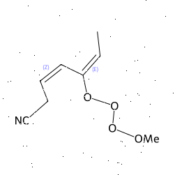 C/C=C(\C=C/CC#N)OOOOC